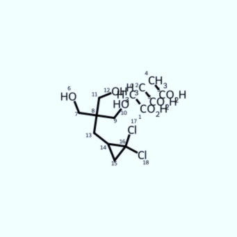 CC(=O)O.CC(=O)O.CC(=O)O.OCC(CO)(CO)CC1CC1(Cl)Cl